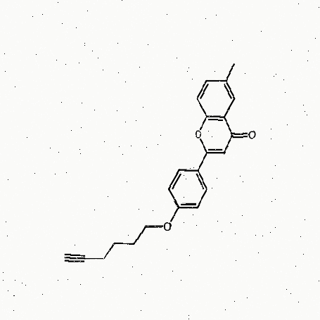 C#CCCCCOc1ccc(-c2cc(=O)c3cc(C)ccc3o2)cc1